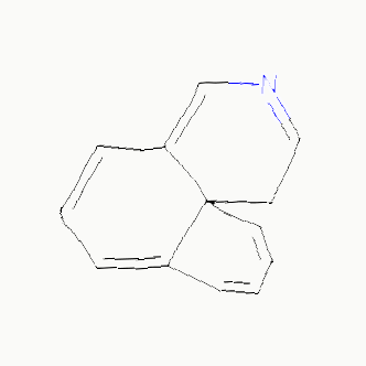 C1=CC2=CC=CC3=CN=CCC23C=C1